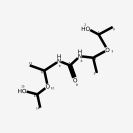 CC(O)OC(C)NC(=O)NC(C)OC(C)O